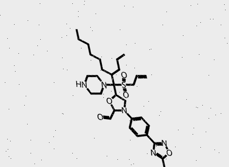 C=CCS(=O)(=O)C(C(CCC)CCCCCC)(C1CN(c2ccc(-c3noc(C)n3)cc2)C(C=O)O1)N1CCNCC1